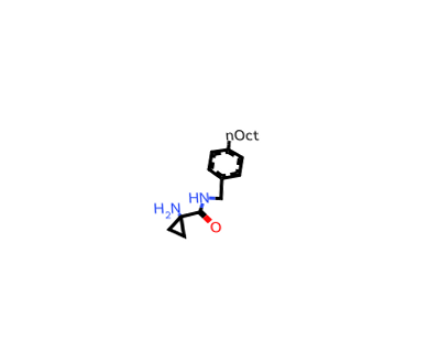 CCCCCCCCc1ccc(CNC(=O)C2(N)CC2)cc1